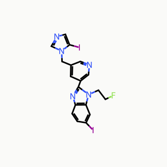 FCCn1c(-c2cncc(Cn3cncc3I)c2)nc2ccc(I)cc21